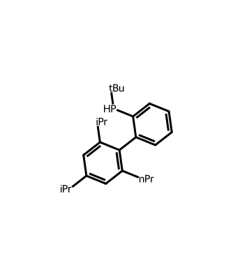 CCCc1cc(C(C)C)cc(C(C)C)c1-c1ccccc1PC(C)(C)C